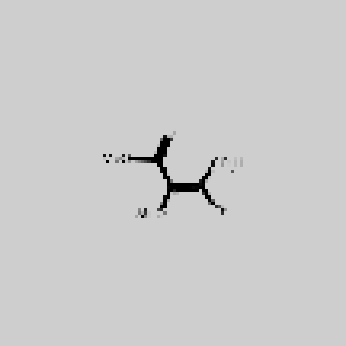 CC/C(C(=O)O)=C(\OC)C(=O)OC